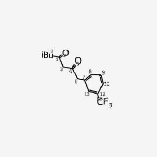 CCC(C)C(=O)CC(=O)Cc1cccc(C(F)(F)F)c1